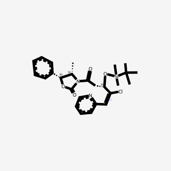 C[C@H]1[C@@H](c2ccccc2)OC(=O)N1C(=O)C[C@H](O[Si](C)(C)C(C)(C)C)/C(Cl)=C\c1ccccn1